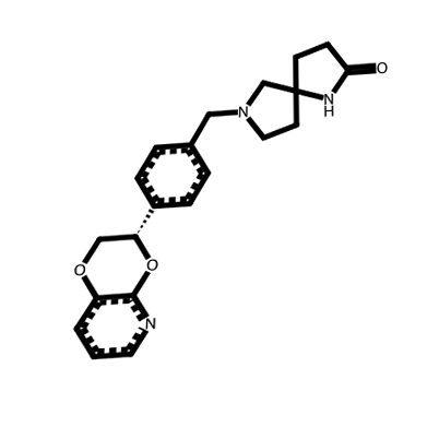 O=C1CCC2(CCN(Cc3ccc([C@H]4COc5cccnc5O4)cc3)C2)N1